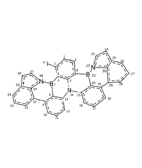 Ic1ccc2c3c1B1c4c(cccc4N3c3cccc4c3B2n2ccc3cccc-4c32)-c2cccc3ccn1c23